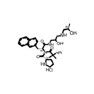 CCCC(C)(C)C(=O)N(C(=O)[C@@H]1CCCN1)[C@H](Cc1ccc2ccccc2c1)C(=O)NCC(O)CNC[C@@H](C)O.Cl